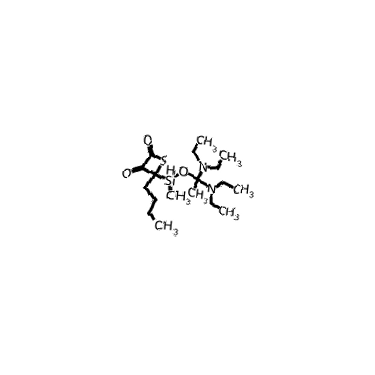 CCCCC1([SiH](C)OC(C)(N(CC)CC)N(CC)CC)SC(=O)C1=O